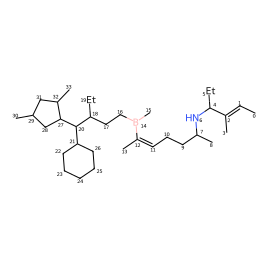 C/C=C(\C)C(CC)NC(C)CC/C=C(/C)B(C)CCC(CC)C(C1CCCCC1)C1CC(C)CC1C